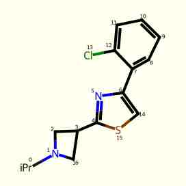 CC(C)N1CC(c2nc(-c3ccccc3Cl)cs2)C1